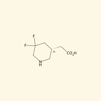 O=C(O)C[C@@H]1CNCC(F)(F)C1